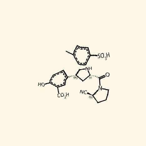 Cc1ccc(S(=O)(=O)O)cc1.N#C[C@@H]1CCCN1C(=O)[C@@H]1C[C@H](c2ccc(O)c(C(=O)O)c2)CN1